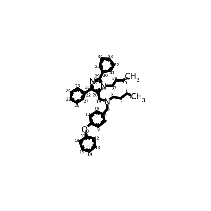 CCCCN(Cc1ccc(Oc2ccccc2)cc1)Cc1c(-c2ccccc2)nc(-c2ccccc2)n1CCCC